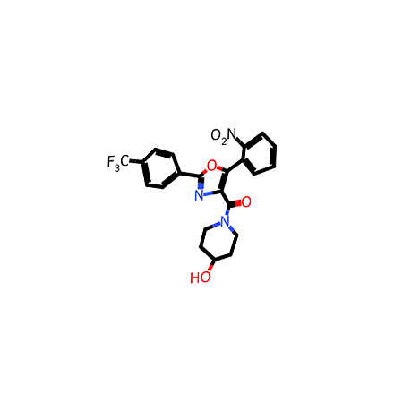 O=C(c1nc(-c2ccc(C(F)(F)F)cc2)oc1-c1ccccc1[N+](=O)[O-])N1CCC(O)CC1